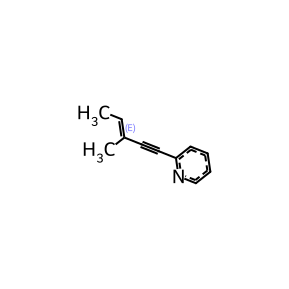 C/C=C(\C)C#Cc1ccccn1